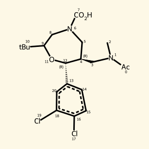 CC(=O)N(C)C[C@@H]1CN(C(=O)O)CC(C(C)(C)C)O[C@H]1c1ccc(Cl)c(Cl)c1